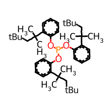 CC(C)(C)CC(C)(C)c1ccccc1OP(Oc1ccccc1C(C)(C)CC(C)(C)C)Oc1ccccc1C(C)(C)CC(C)(C)C